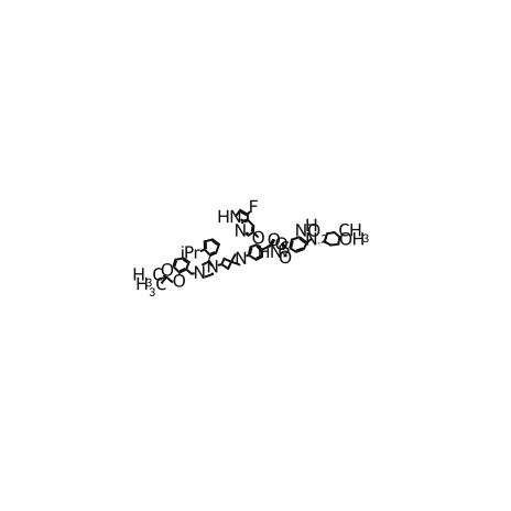 CC(C)c1ccccc1[C@@H]1CN(Cc2cccc3c2OCC(C)(C)O3)CCN1C1CC2(C1)CN(c1ccc(C(=O)NS(=O)(=O)c3ccc(NC[C@H]4CC[C@](C)(O)CC4)c([N+](=O)[O-])c3)c(Oc3cnc4[nH]cc(F)c4c3)c1)C2